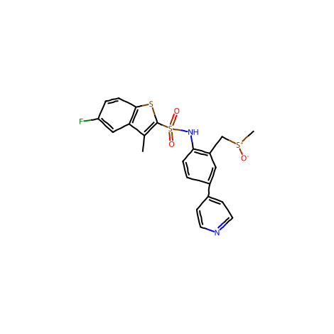 Cc1c(S(=O)(=O)Nc2ccc(-c3ccncc3)cc2C[S+](C)[O-])sc2ccc(F)cc12